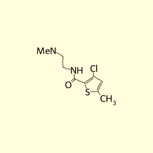 CNCCNC(=O)c1sc(C)cc1Cl